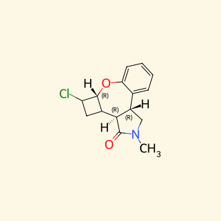 CN1C[C@H]2c3ccccc3O[C@H]3C(Cl)CC3[C@@H]2C1=O